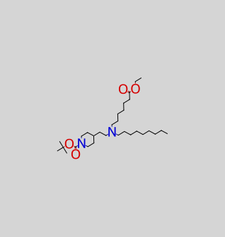 CCCCCCCCCN(CCCCCCC(=O)OCC)CCC1CCN(C(=O)OC(C)(C)C)CC1